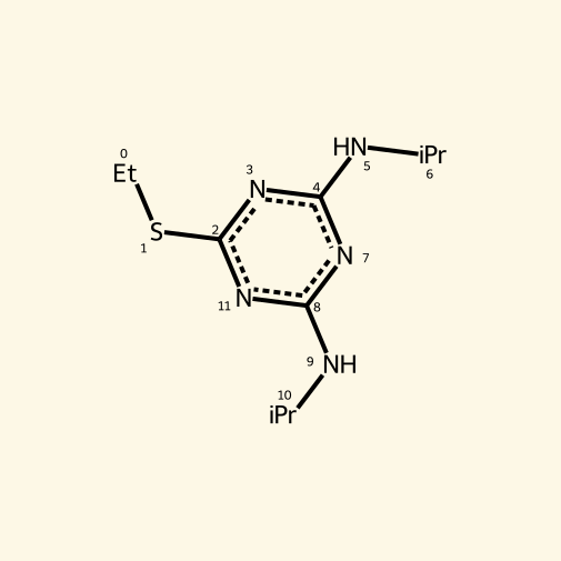 CCSc1nc(NC(C)C)nc(NC(C)C)n1